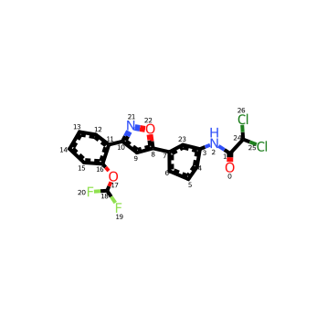 O=C(Nc1cccc(-c2cc(-c3ccccc3OC(F)F)no2)c1)C(Cl)Cl